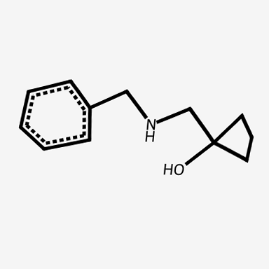 OC1(CNCc2ccccc2)CCC1